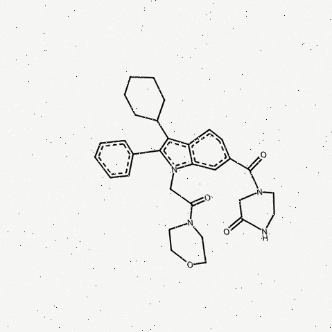 O=C1CN(C(=O)c2ccc3c(C4CCCCC4)c(-c4ccccc4)n(CC(=O)N4CCOCC4)c3c2)CCN1